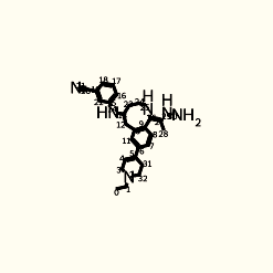 CCN1CC=C(c2ccc3c(c2)CC(Nc2cccc(C#N)c2)CCN/C3=C(/C)NN)CC1